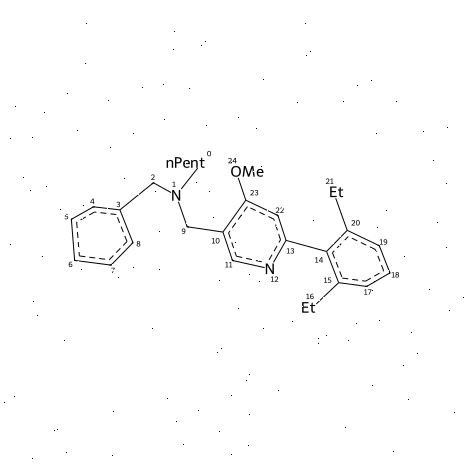 CCCCCN(Cc1ccccc1)Cc1cnc(-c2c(CC)cccc2CC)cc1OC